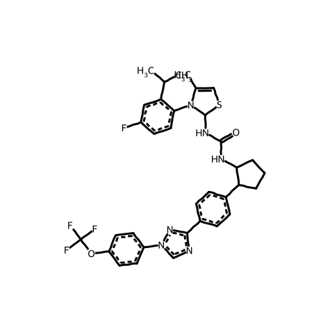 CC1=CSC(NC(=O)NC2CCCC2c2ccc(-c3ncn(-c4ccc(OC(F)(F)F)cc4)n3)cc2)N1c1ccc(F)cc1C(C)C